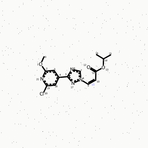 COc1cc(-c2ncn(/C=C\C(=O)OC(C)C)n2)cc(Cl)n1